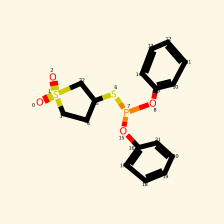 O=S1(=O)CCC(SP(Oc2ccccc2)Oc2ccccc2)C1